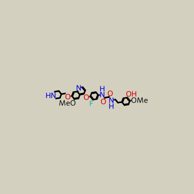 COc1ccc(CCNC(=O)C(=O)Nc2ccc(Oc3ccnc4cc(OCC5CCNCC5)c(OC)cc34)c(F)c2)cc1O